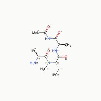 CNC(=O)NC(=O)[C@@H](C)NC(=O)[C@H](CC(C)C)N(C)C(=O)[C@@H](N)C(C)C